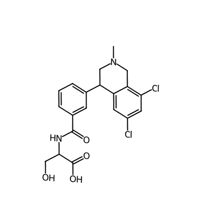 CN1Cc2c(Cl)cc(Cl)cc2C(c2cccc(C(=O)NC(CO)C(=O)O)c2)C1